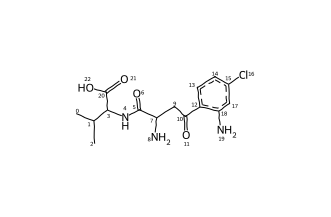 CC(C)C(NC(=O)C(N)CC(=O)c1ccc(Cl)cc1N)C(=O)O